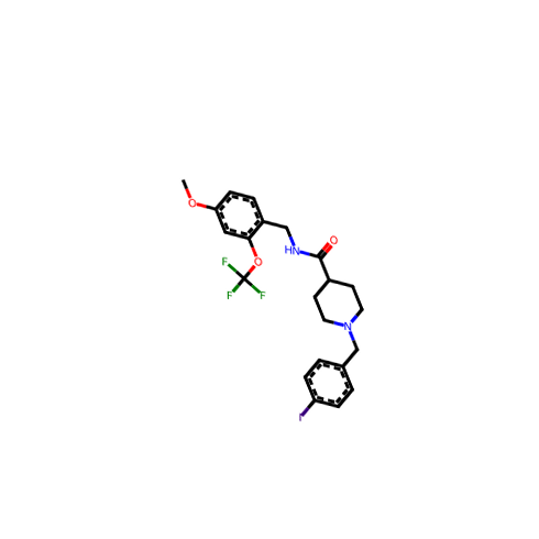 COc1ccc(CNC(=O)C2CCN(Cc3ccc(I)cc3)CC2)c(OC(F)(F)F)c1